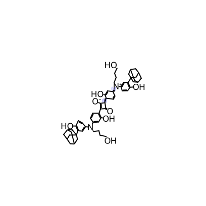 O=C1C(c2ccc(N(CCCCO)c3ccc(O)c(C45CC6CC(CC(C6)C4)C5)c3)cc2O)=C([O-])/C1=C1C=C/C(=[N+](/CCCCO)c2ccc(O)c(C34CC5CC(CC(C5)C3)C4)c2)C=C/1O